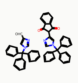 O=C1c2ccccc2C(=O)C1c1cn(C(c2ccccc2)(c2ccccc2)c2ccccc2)cn1.O=Cc1cn(C(c2ccccc2)(c2ccccc2)c2ccccc2)cn1